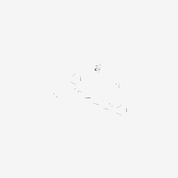 C[N+](C)(C)CCCN1C(=CC=CC=Cc2sc3ccccc3[n+]2CCC[N+](C)(C)C)Sc2ccccc21.[Br-].[Br-].[Br-]